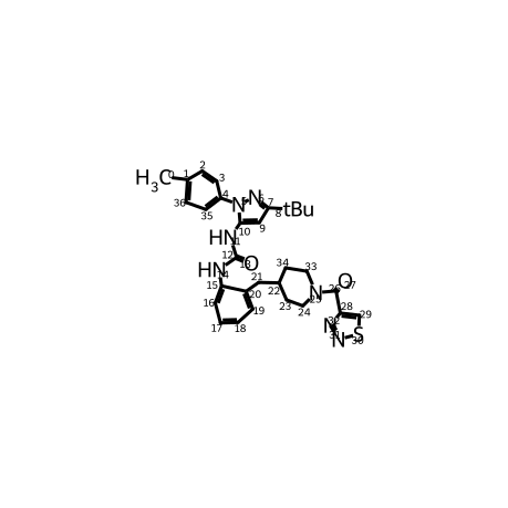 Cc1ccc(-n2nc(C(C)(C)C)cc2NC(=O)Nc2ccccc2CC2CCN(C(=O)c3csnn3)CC2)cc1